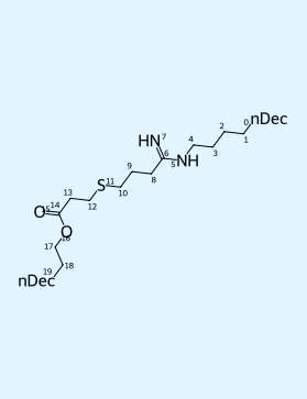 CCCCCCCCCCCCCCNC(=N)CCCSCCC(=O)OCCCCCCCCCCCC